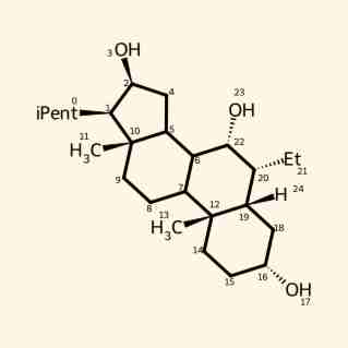 CCC[C@@H](C)[C@H]1[C@@H](O)CC2C3C(CC[C@@]21C)[C@@]1(C)CC[C@@H](O)C[C@H]1[C@@H](CC)[C@H]3O